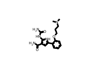 CN(C)CCCOc1ccccc1-c1cc(C(N)=O)c(NC(N)=O)[nH]1